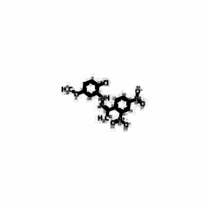 COc1ccc(Cl)c(NN=C(C)c2ccc([N+](=O)[O-])cc2[N+](=O)[O-])c1